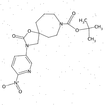 CC(C)(C)OC(=O)N1CCCC2(CC1)CN(c1ccc([N+](=O)[O-])nc1)C(=O)O2